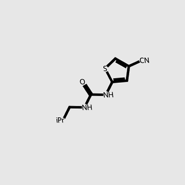 CC(C)CNC(=O)Nc1cc(C#N)cs1